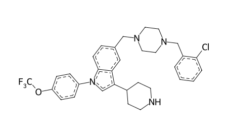 FC(F)(F)Oc1ccc(-n2cc(C3CCNCC3)c3cc(CN4CCN(Cc5ccccc5Cl)CC4)ccc32)cc1